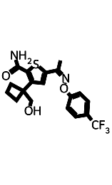 CC(=NOc1ccc(C(F)(F)F)cc1)c1cc(C2(CO)CCC2)c(C(N)=O)s1